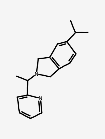 CC(C)c1ccc2c(c1)CN(C(C)c1ccccn1)C2